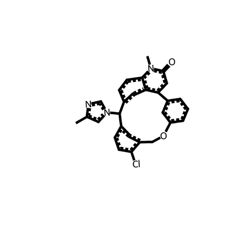 Cc1cn(C2c3ccc(Cl)c(c3)COc3cccc(c3)-c3cc(=O)n(C)c4ccc2cc34)cn1